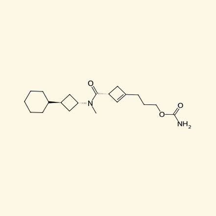 CN(C(=O)[C@H]1C=C(CCCOC(N)=O)C1)[C@H]1C[C@H](C2CCCCC2)C1